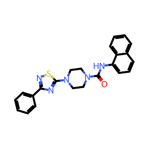 O=C(Nc1cccc2ccccc12)N1CCN(c2nc(-c3ccccc3)ns2)CC1